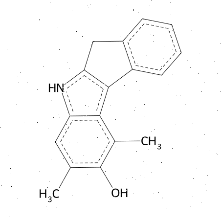 Cc1cc2[nH]c3c(c2c(C)c1O)-c1ccccc1C3